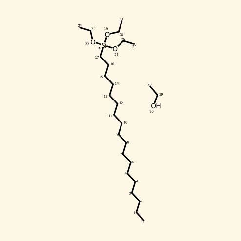 CCCCCCCCCCCCCCCCCC[Si](OCC)(OCC)OCC.CCO